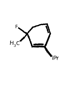 CC(C)C1=CC(C)(F)CC=C1